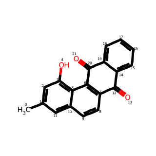 Cc1cc(O)c2c3c(ccc2c1)C(=O)c1ccccc1C3=O